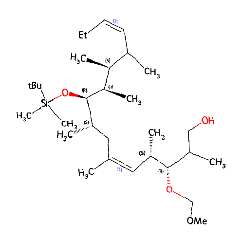 CC/C=C\C(C)[C@H](C)[C@@H](C)[C@H](O[Si](C)(C)C(C)(C)C)[C@@H](C)C/C(C)=C\[C@H](C)[C@@H](OCOC)C(C)CO